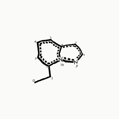 CCc1cccc2ccnn12